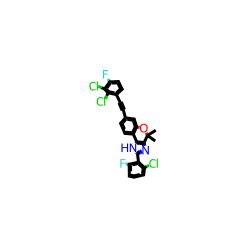 CC1(C)Oc2cc(C#Cc3ccc(F)c(Cl)c3Cl)ccc2-c2[nH]c(-c3c(F)cccc3Cl)nc21